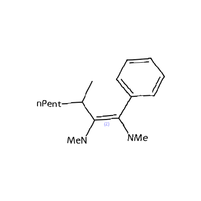 CCCCCC(C)/C(NC)=C(/NC)c1ccccc1